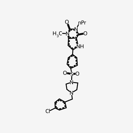 CCCn1c(=O)c2[nH]c(-c3ccc(S(=O)(=O)N4CCN(Cc5ccc(Cl)cc5)CC4)cc3)cc2n(C)c1=O